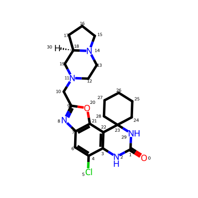 O=C1Nc2c(Cl)cc3nc(CN4CCN5CCC[C@@H]5C4)oc3c2C2(CCCCC2)N1